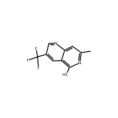 Cc1cc2ncc(C(F)(F)F)cc2c(S)n1